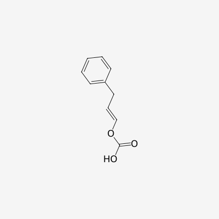 O=C(O)OC=CCc1ccccc1